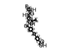 COC(CO)c1ccc(C2CC(c3ccc(C(=O)NC[C@H]4C[C@@H](NC(=O)[C@@H]5C[C@H](F)CN5)CN4C(=O)C4CC4)cc3)C2)cc1